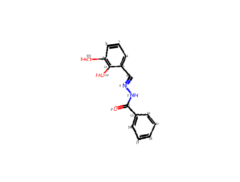 O=C(NN=Cc1cccc(O)c1O)c1ccccc1